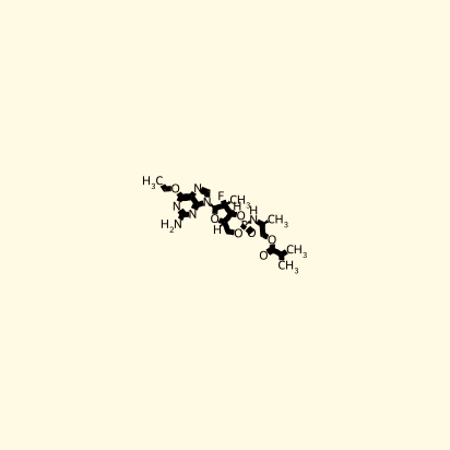 CCOc1nc(N)nc2c1ncn2[C@@H]1O[C@@H]2CO[P@](=O)(N[C@@H](C)COC(=O)C(C)C)O[C@H]2[C@@]1(C)F